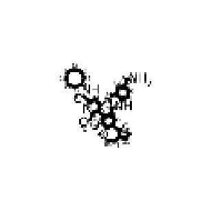 COC(=O)c1nc(C(=O)NC2CCCCCCC2)ccc1-c1cc2c(cc1C(=O)Nc1ccc(CN)cc1C)-c1sccc1CCO2